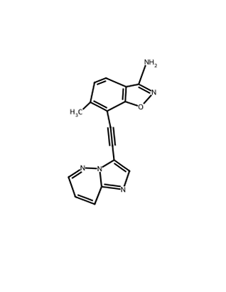 Cc1ccc2c(N)noc2c1C#Cc1cnc2cccnn12